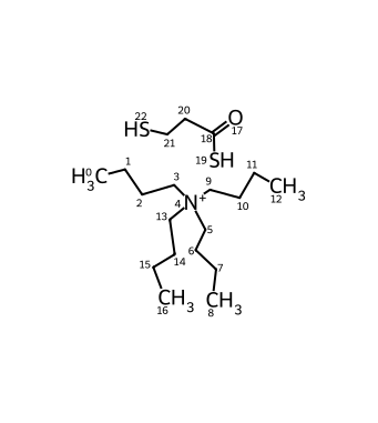 CCCC[N+](CCCC)(CCCC)CCCC.O=C(S)CCS